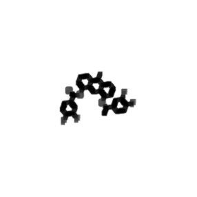 C=C(Oc1cccc2c(C)c3cccc(OC(=O)c4ccc(F)c(F)c4)c3cc12)c1ccc(F)c(F)c1